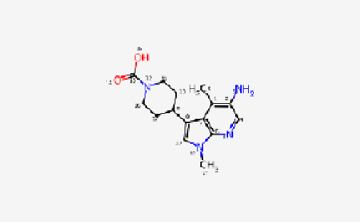 Cc1c(N)cnc2c1c(C1CCN(C(=O)O)CC1)cn2C